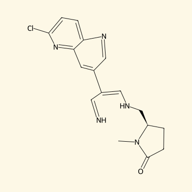 CN1C(=O)CC[C@@H]1CN/C=C(\C=N)c1cnc2ccc(Cl)nc2c1